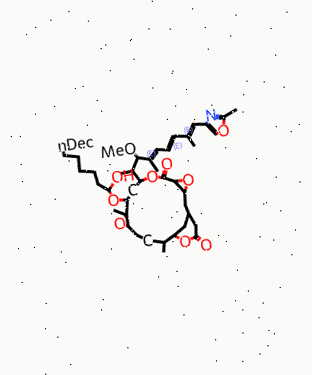 CCCCCCCCCCCCCCCC(O)OC1CC(C(C)C(OC)/C(C)=C/C=C/C(C)=C/c2coc(C)n2)OC(=O)C2OC2CC2CC(=O)OC(C2)C(C)CCC2OC12C